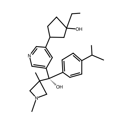 CCC1(O)CCC(c2cncc([C@@](O)(c3ccc(C(C)C)cc3)C3(C)CN(C)C3)c2)C1